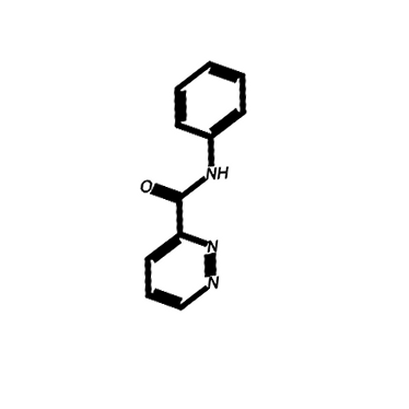 O=C(Nc1ccccc1)c1cccnn1